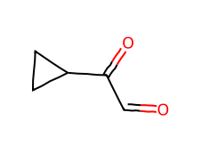 O=CC(=O)C1CC1